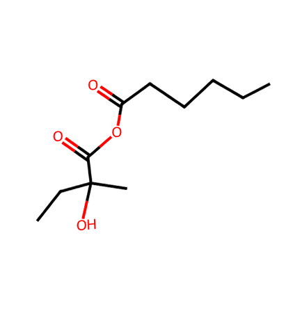 CCCCCC(=O)OC(=O)C(C)(O)CC